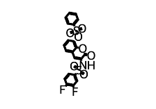 O=c1oc2c(OS(=O)(=O)c3ccccc3)cccc2cc1NS(=O)(=O)c1ccc(F)c(F)c1